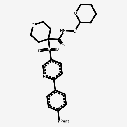 CCCCCc1ccc(-c2ccc(S(=O)(=O)C3(C(=O)NOC4CCCCO4)CCOCC3)cn2)cc1